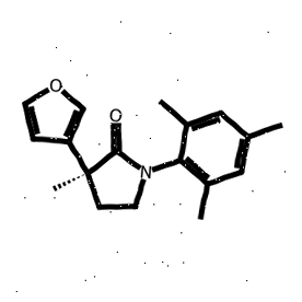 Cc1cc(C)c(N2CC[C@@](C)(c3ccoc3)C2=O)c(C)c1